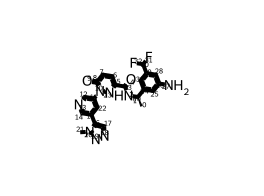 C[C@@H](NC(=O)c1ccc(=O)n(-c2cncc(-c3cnnn3C)c2)n1)c1cc(N)cc(C(F)F)c1